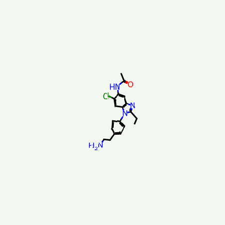 CCc1nc2cc(NC(C)=O)c(Cl)cc2n1-c1ccc(CCN)cc1